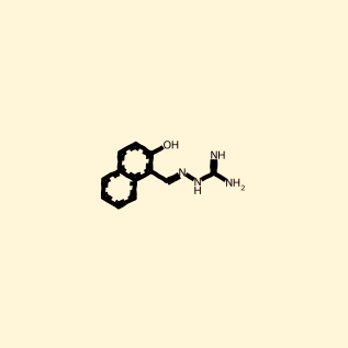 N=C(N)NN=Cc1c(O)ccc2ccccc12